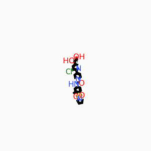 Cc1cc(NC(=O)N2CC=C(c3ncc([C@@H](O)CO)cc3Cl)CC2)ccc1S(=O)(=O)N1CCCC1